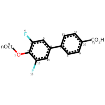 CCCCCCCCOc1c(F)cc(-c2ccc(C(=O)O)cc2)cc1F